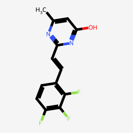 Cc1cc(O)nc(/C=C/c2ccc(F)c(F)c2F)n1